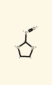 O=[S+]C1OCCO1